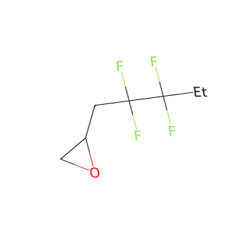 CCC(F)(F)C(F)(F)CC1CO1